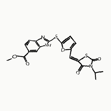 COC(=O)c1ccc2nc(Sc3ccc(/C=C4\SC(=O)N(C(C)C)C4=O)o3)[nH]c2c1